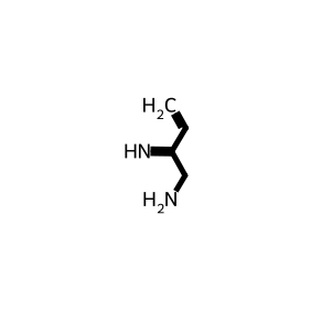 C=CC(=N)CN